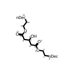 CCCCCCCCCCCCOC(=O)CC(O)CC(=O)OCCCCCCCCCCCC